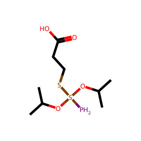 CC(C)OS(P)(OC(C)C)SCCC(=O)O